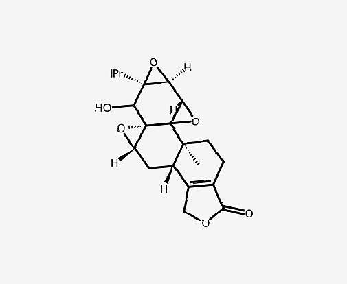 CC(C)[C@]12O[C@H]1[C@@H]1OC13[C@@]1(C)CCC4=C(COC4=O)[C@@H]1C[C@@H]1O[C@@]13C2O